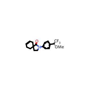 CO[C@H](c1ccc(N2CCC3(CC=CCC3)C2=O)cc1)C(F)(F)F